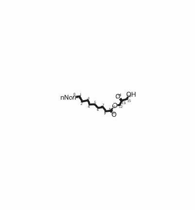 CCCCCCCCCCCCCCCCCC(=O)OCC(=O)CO